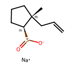 C=CC[C@@]1(C)CCC[C@@H]1S(=O)[O-].[Na+]